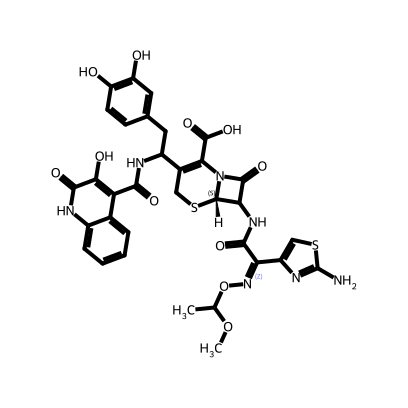 COC(C)O/N=C(\C(=O)NC1C(=O)N2C(C(=O)O)=C(C(Cc3ccc(O)c(O)c3)NC(=O)c3c(O)c(=O)[nH]c4ccccc34)CS[C@@H]12)c1csc(N)n1